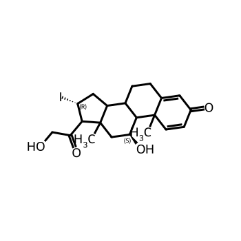 CC12C=CC(=O)C=C1CCC1C2[C@@H](O)CC2(C)C1C[C@@H](I)C2C(=O)CO